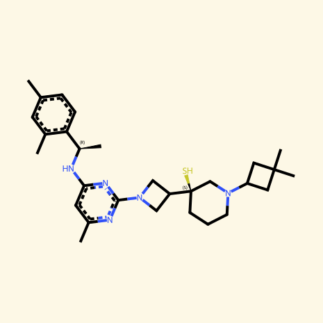 Cc1ccc([C@@H](C)Nc2cc(C)nc(N3CC([C@@]4(S)CCCN(C5CC(C)(C)C5)C4)C3)n2)c(C)c1